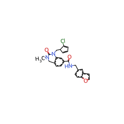 CN1Cc2ccc(C(=O)NCc3ccc4occc4c3)cc2N(CC2C=CC=C2Cl)C1=O